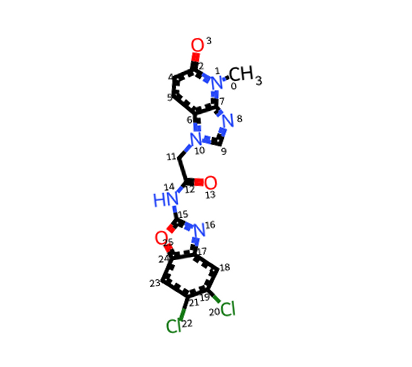 Cn1c(=O)ccc2c1ncn2CC(=O)Nc1nc2cc(Cl)c(Cl)cc2o1